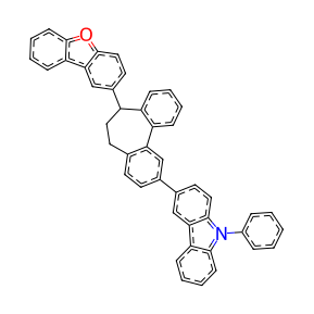 c1ccc(-n2c3ccccc3c3cc(-c4ccc5c(c4)-c4ccccc4C(c4ccc6oc7ccccc7c6c4)CC5)ccc32)cc1